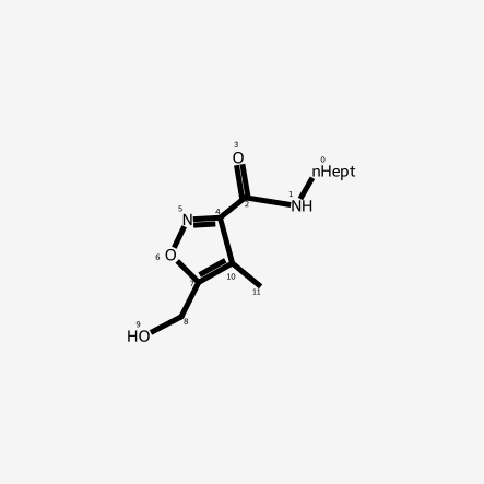 CCCCCCCNC(=O)c1noc(CO)c1C